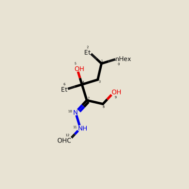 CCCCCCC(CC)CC(O)(CC)/C(CO)=N/NC=O